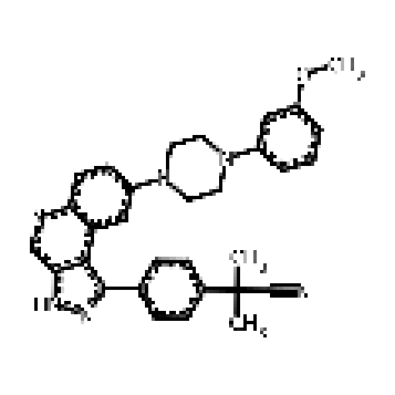 COc1cccc(N2CCN(c3ccc4ncc5[nH]nc(-c6ccc(C(C)(C)C#N)cc6)c5c4c3)CC2)c1